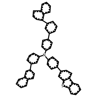 c1cc(-c2ccc(N(c3ccc(-c4ccc5c(c4)sc4ccccc45)cc3)c3cccc(-c4ccc5ccccc5c4)c3)cc2)cc(-c2cccc3ccccc23)c1